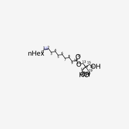 CCCCCC/C=C\CCCCCCCC(=O)OCC(CO)(CO)CO